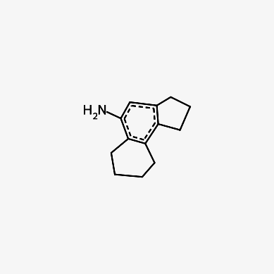 Nc1cc2c(c3c1CCCC3)CCC2